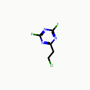 Fc1nc(F)nc(CCCl)n1